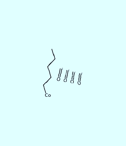 CCCC[CH2][Co].[C]=O.[C]=O.[C]=O.[C]=O